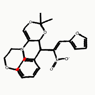 CC1(C)OC=C(N2CCOCC2)C(C(C(=Cc2ccco2)[N+](=O)[O-])c2ccccc2)O1